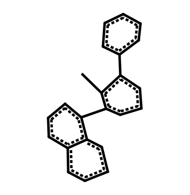 Cc1c(-c2ccccc2)cccc1-c1cccc2ccccc12